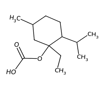 CCC1(OC(=O)O)CC(C)CCC1C(C)C